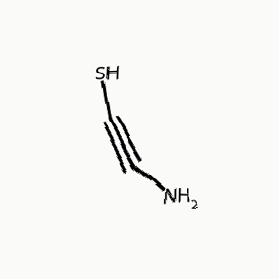 NC#CS